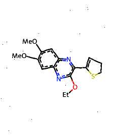 CCOc1nc2cc(OC)c(OC)cc2nc1C1=CCCS1